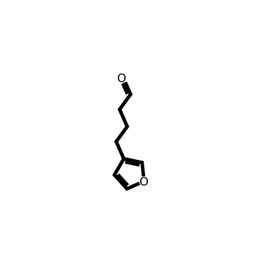 O=CCCCc1ccoc1